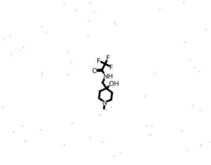 CN1CCC(O)(CNC(=O)C(F)(F)F)CC1